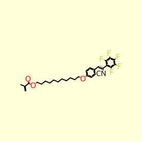 C=C(C)C(=O)OCCCCCCCCCCCOc1ccc(/C=C(\C#N)c2c(F)c(F)c(F)c(F)c2F)cc1